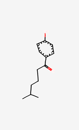 CC(C)CCCC(=O)c1ccc(O)cc1